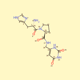 N[C@@H](Cc1c[nH]cn1)C(=O)N1CCC[C@H]1C(=O)NCc1cc(=O)[nH]c(=O)[nH]1